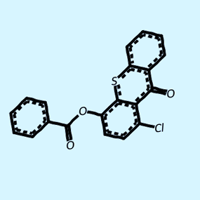 O=C(Oc1ccc(Cl)c2c(=O)c3ccccc3sc12)c1ccccc1